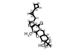 Cn1c(=O)n(CC2CCC(O)(C(F)(F)F)CC2)c(=O)c2c1ncn2CC1CC1C1CCC1